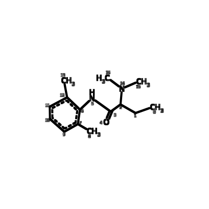 CCC(C(=O)Nc1c(C)cccc1C)N(C)C